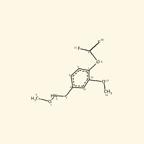 CONCc1ccc(OC(F)F)c(OC)c1